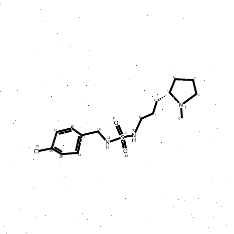 CN1CCC[C@H]1CCCNS(=O)(=O)NCc1ccc(Cl)cc1